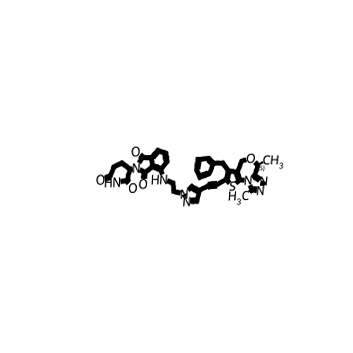 Cc1nnc2n1-c1sc(C#Cc3cnn(CCNc4cccc5c4C(=O)N(C4CCC(=O)NC4=O)C5=O)c3)c(Cc3ccccc3)c1CO[C@H]2C